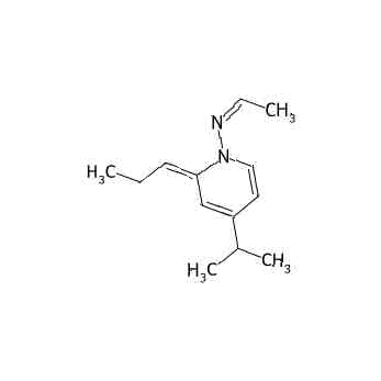 C/C=N\N1C=CC(C(C)C)=C/C1=C\CC